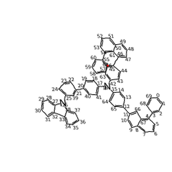 c1ccc(-c2cccc3ccc(-c4ccc(N(c5ccc(-c6cccc(-n7c8ccccc8c8ccccc87)c6)cc5)c5ccc(-c6cccc7cccc(-c8ccccc8)c67)cc5)cc4)cc23)cc1